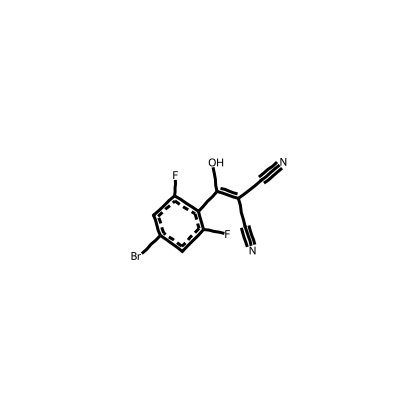 N#CC(C#N)=C(O)c1c(F)cc(Br)cc1F